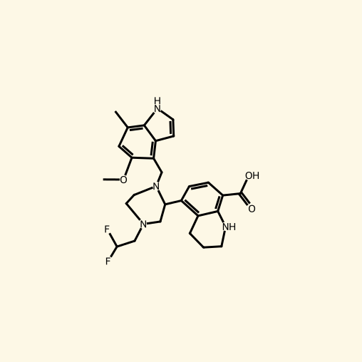 COc1cc(C)c2[nH]ccc2c1CN1CCN(CC(F)F)CC1c1ccc(C(=O)O)c2c1CCCN2